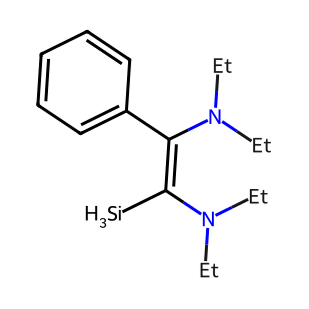 CCN(CC)C([SiH3])=C(c1ccccc1)N(CC)CC